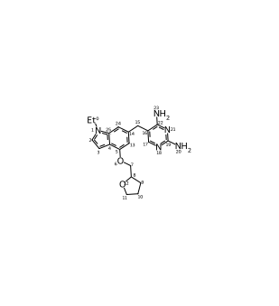 CCn1ccc2c(OCC3CCCO3)cc(Cc3cnc(N)nc3N)cc21